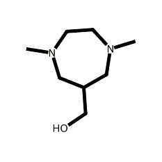 CN1CCN(C)CC(CO)C1